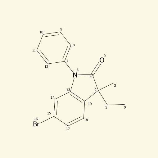 CCC1(C)C(=O)N(c2ccccc2)c2cc(Br)ccc21